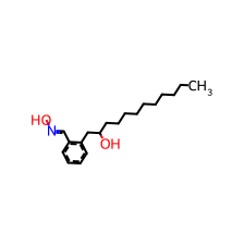 CCCCCCCCCCC(O)Cc1ccccc1C=NO